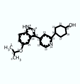 CC(C)Oc1ccc2[nH]nc(-c3ccnc(C4CCC(O)CC4)c3)c2c1